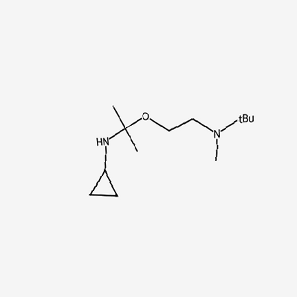 CN(CCOC(C)(C)NC1CC1)C(C)(C)C